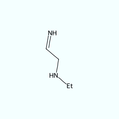 [CH2]CNCC=N